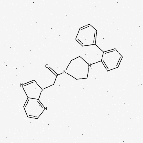 O=C(Cn1cnc2cccnc21)N1CCN(c2ccccc2-c2ccccc2)CC1